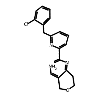 C=C(/N=C1/CCOC/C1=C/N)c1cccc(Cc2ccccc2Cl)n1